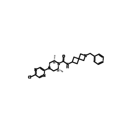 C[C@@H]1CN(c2cnc(Cl)cn2)C[C@H](C)N1C(=O)NC1CC2(C1)CN(Cc1ccccc1)C2